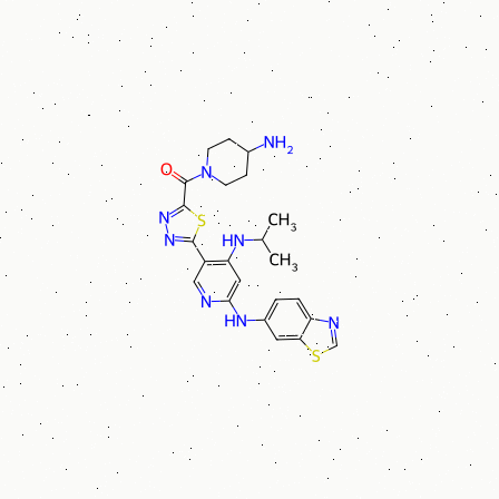 CC(C)Nc1cc(Nc2ccc3ncsc3c2)ncc1-c1nnc(C(=O)N2CCC(N)CC2)s1